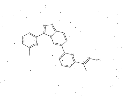 CC(=NO)c1cccc(-c2ccc3cnc(-c4cccc(C)n4)n3c2)n1